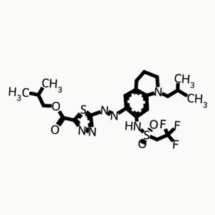 CC(C)COC(=O)c1nnc(N=Nc2cc3c(cc2NS(=O)(=O)CC(F)(F)F)N(CC(C)C)CCC3)s1